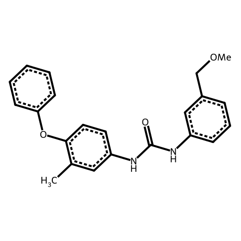 COCc1cccc(NC(=O)Nc2ccc(Oc3ccccc3)c(C)c2)c1